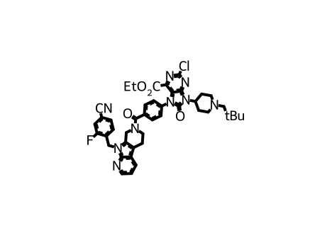 CCOC(=O)c1nc(Cl)nc2c1n(-c1ccc(C(=O)N3CCc4c(n(Cc5ccc(C#N)cc5F)c5ncccc45)C3)cc1)c(=O)n2C1CCN(CC(C)(C)C)CC1